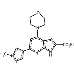 CCOC(=O)c1nc2c(N3CCOCC3)cc(-c3cnn(C)c3)nc2[nH]1